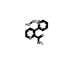 NC(=S)c1ncccc1-c1ccccn1.O=S(=O)(O)O